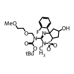 COCCOCN(C(=O)OC(C)(C)C)C1=NC2(c3ccccc3F)CC(O)CC2S(=O)(=O)N1C